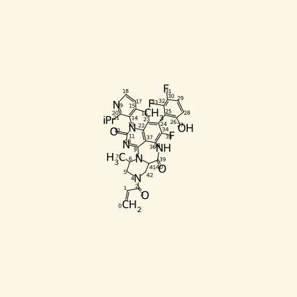 C=CC(=O)N1CC(C)N2c3nc(=O)n(-c4c(C)ccnc4C(C)C)c4cc(-c5c(O)ccc(F)c5F)c(F)c(c34)NC(=O)C2C1